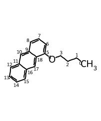 CCCCOc1cccc2cc3c[c]ccc3cc12